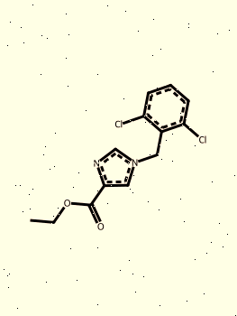 CCOC(=O)c1cn(Cc2c(Cl)cccc2Cl)cn1